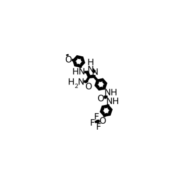 COc1cccc(Nc2[nH]nc(-c3ccc(NC(=O)Nc4ccc(OC(F)(F)F)cc4)cc3)c2C(N)=O)c1